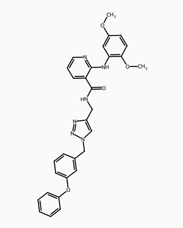 COc1ccc(OC)c(Nc2ncccc2C(=O)NCc2cn(Cc3cccc(Oc4ccccc4)c3)nn2)c1